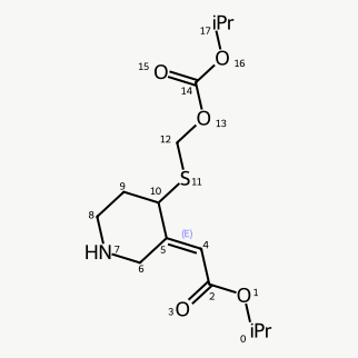 CC(C)OC(=O)/C=C1\CNCCC1SCOC(=O)OC(C)C